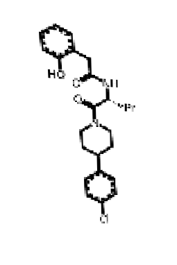 CC(C)[C@@H](NC(=O)Cc1ccccc1O)C(=O)N1CCC(c2ccc(Cl)cc2)CC1